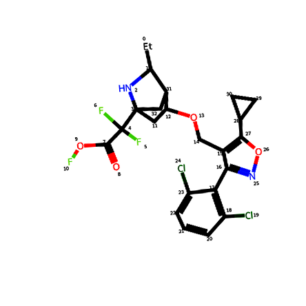 CCC1NC2(C(F)(F)C(=O)OF)CC(OCc3c(-c4c(Cl)cccc4Cl)noc3C3CC3)C1C2